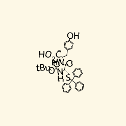 CC(C)(C)OC(=O)N[C@@H](CSC(c1ccccc1)(c1ccccc1)c1ccccc1)C(=O)N[C@@H](Cc1ccc(O)cc1)C(=O)O